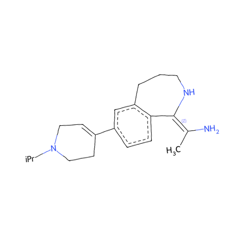 C/C(N)=C1/NCCCc2cc(C3=CCN(C(C)C)CC3)ccc21